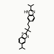 CC(C)c1ccc2sc(C(C)(C)CCc3ccc4nc(C(C)C)[nH]c4c3)nc2c1